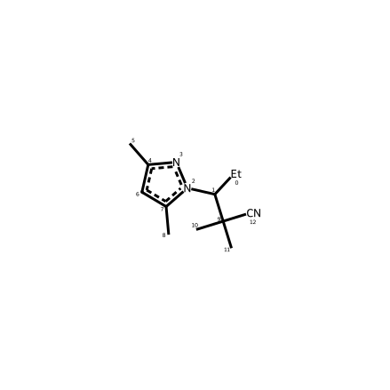 CCC(n1nc(C)cc1C)C(C)(C)C#N